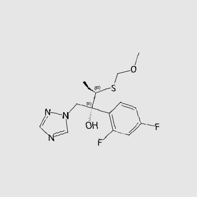 COCS[C@H](C)[C@](O)(Cn1cncn1)c1ccc(F)cc1F